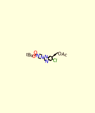 CC(=O)OCC#Cc1cc2nc(N3CCN(C(=O)OC(C)(C)C)CC3)cnc2cc1Cl